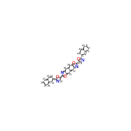 c1ccc2cc(-c3ncc(-c4nc5cc6cc7oc(-c8cnc(-c9ccc%10ccccc%10c9)o8)nc7cc6cc5o4)o3)ccc2c1